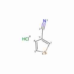 Cl.N#Cc1ccsc1